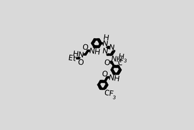 CCC(=O)NCC(=O)Nc1cccc(Nc2ncc(NC(=O)c3cc(NC(=O)c4cccc(C(F)(F)F)c4)ccc3C)cn2)c1